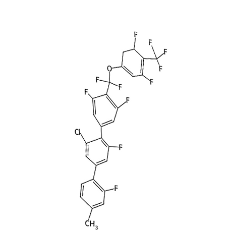 Cc1ccc(-c2cc(F)c(-c3cc(F)c(C(F)(F)OC4=CC(F)=C(C(F)(F)F)C(F)C4)c(F)c3)c(Cl)c2)c(F)c1